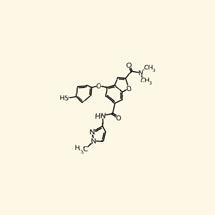 CN(C)C(=O)c1cc2c(Oc3ccc(S)cc3)cc(C(=O)Nc3ccn(C)n3)cc2o1